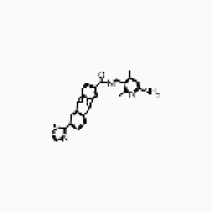 Cc1cc(N)nc(C)c1CNC(=O)c1ccc2c(c1)C1OC2c2cc(-c3nccs3)ccc21